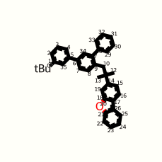 CC(C)(C)c1cccc(-c2ccc(CC(C)(C)c3ccc4c(c3)oc3ccccc34)c(-c3ccccc3)c2)c1